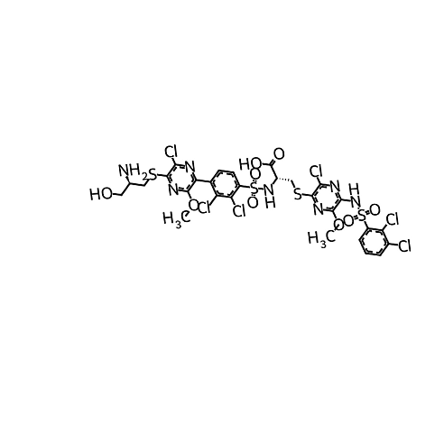 COc1nc(SC[C@H](NS(=O)(=O)c2ccc(-c3nc(Cl)c(SC[C@H](N)CO)nc3OC)c(Cl)c2Cl)C(=O)O)c(Cl)nc1NS(=O)(=O)c1cccc(Cl)c1Cl